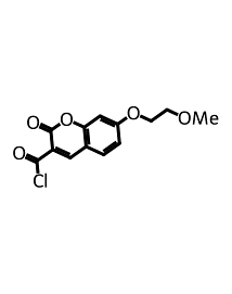 COCCOc1ccc2cc(C(=O)Cl)c(=O)oc2c1